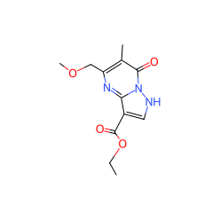 CCOC(=O)c1c[nH]n2c(=O)c(C)c(COC)nc12